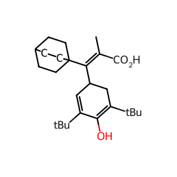 CC(C(=O)O)=C(C1C=C(C(C)(C)C)C(O)=C(C(C)(C)C)C1)C12CCC(CC1)CC2